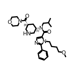 COCCCCn1c(C(=O)N(CC(C)C)[C@@H]2CNC[C@H](C(=O)N3CCOCC3)C2)cnc1-c1ccccc1